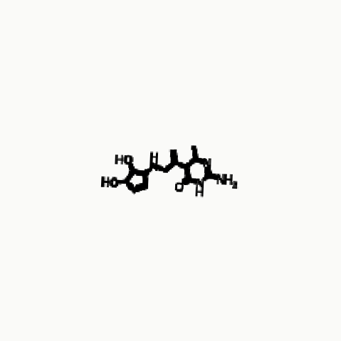 C=C(CNC1C=CC(O)C1O)C1C(=O)NC(N)=NC1C